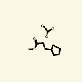 ClC(Cl)Cl.O=C(CCC1CCCC1)OI